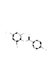 CCCc1ccc(C(=O)Sc2c(C(=O)OCC)cc(C(C)C)cc2C(C)C)cc1